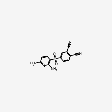 N#Cc1ccc(S(=O)(=O)c2ccc(N)nc2N)cc1C#N